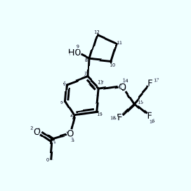 CC(=O)Oc1ccc(C2(O)CCC2)c(OC(F)(F)F)c1